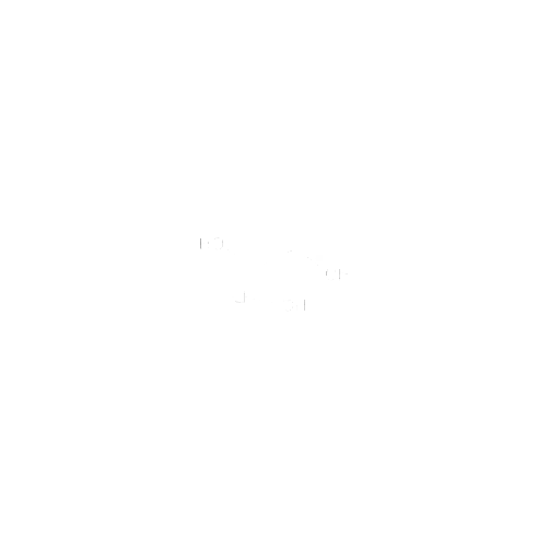 OCCO.OCl